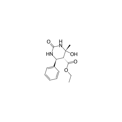 CCOC(=O)[C@@H]1[C@@H](c2ccccc2)NC(=O)N[C@]1(C)O